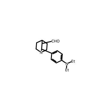 CCN(CC)c1ccc(C2C(C=O)C3CCN2CC3)cc1